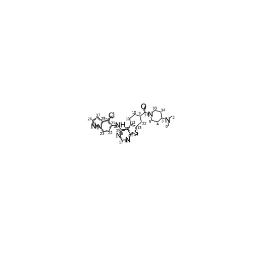 CN(C)C1CCN(C(=O)C2CCc3c(sc4ncnc(Nc5ccn6nccc6c5Cl)c34)C2)CC1